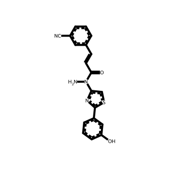 N#Cc1cccc(C=CC(=O)N(N)c2csc(-c3cccc(O)c3)n2)c1